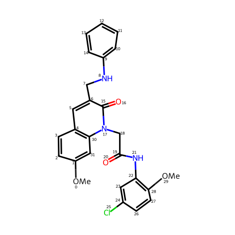 COc1ccc2cc(CNc3ccccc3)c(=O)n(CC(=O)Nc3cc(Cl)ccc3OC)c2c1